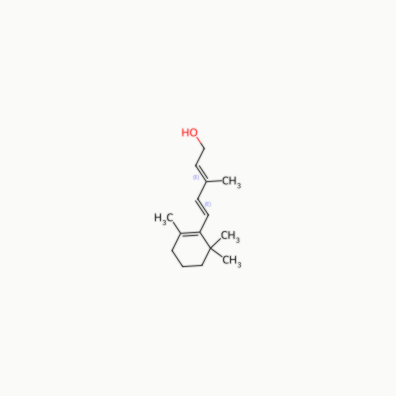 CC1=C(/C=C/C(C)=C/CO)C(C)(C)CCC1